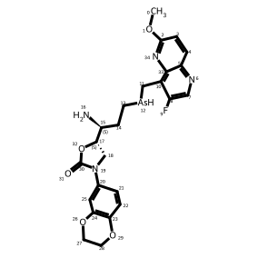 COc1ccc2ncc(F)c(C[AsH]CC[C@H](N)[C@@H]3CN(c4ccc5c(c4)OCCO5)C(=O)O3)c2n1